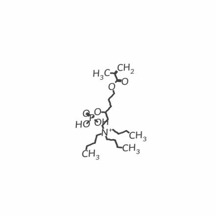 C=C(C)C(=O)OCCCC(CC[N+](CCCC)(CCCC)CCCC)OP(=O)(O)O